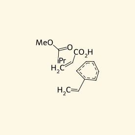 C=CC(=O)O.C=Cc1ccccc1.COC(=O)C(C)C